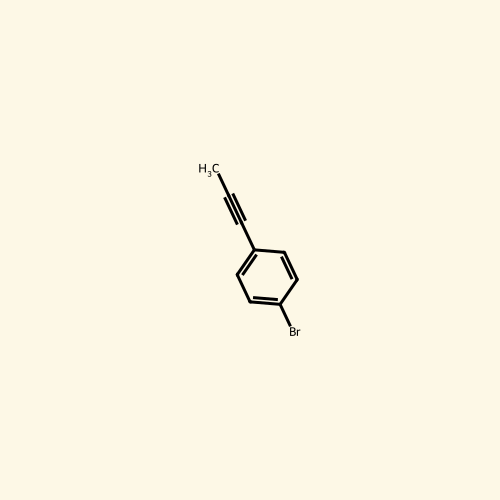 CC#Cc1ccc(Br)cc1